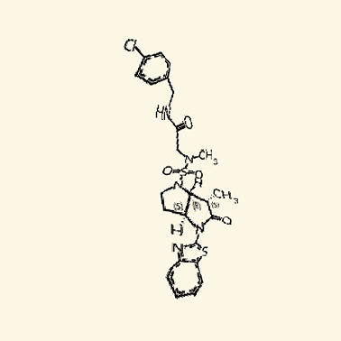 C[C@@H]1C(=O)N(c2nc3ccccc3s2)[C@H]2CCN(S(=O)(=O)N(C)CC(=O)NCc3ccc(Cl)cc3)[C@H]12